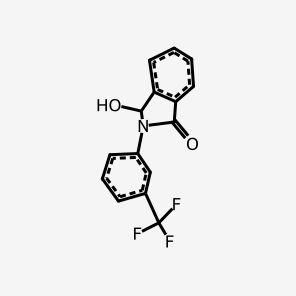 O=C1c2ccccc2C(O)N1c1cccc(C(F)(F)F)c1